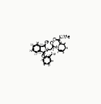 COC(=O)C1CCC=CN1C(=O)[C@H](Cc1ccccc1)N1C(=O)c2ccccc2C1=O